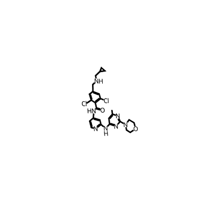 Cc1cc(Nc2cc(NC(=O)c3c(Cl)cc(CNCC4CC4)cc3Cl)ccn2)nc(N2CCOCC2)n1